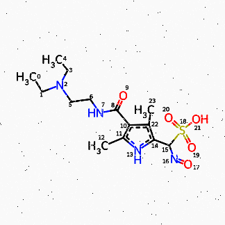 CCN(CC)CCNC(=O)c1c(C)[nH]c(C(N=O)S(=O)(=O)O)c1C